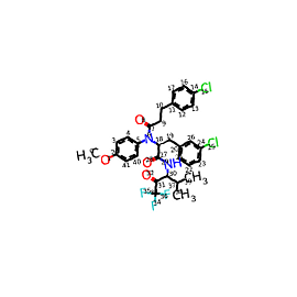 COc1ccc(N(C(=O)CCc2ccc(Cl)cc2)[C@@H](Cc2cccc(Cl)c2)C(=O)N[C@H](C(=O)C(F)(F)F)C(C)C)cc1